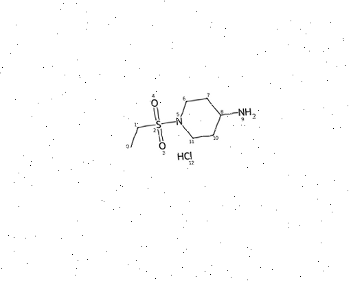 CCS(=O)(=O)N1CCC(N)CC1.Cl